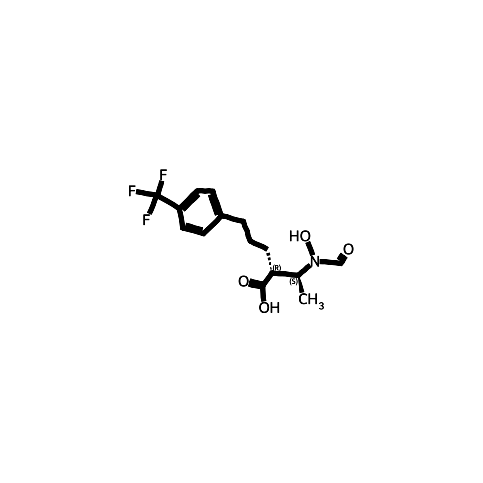 C[C@@H]([C@@H](CCCc1ccc(C(F)(F)F)cc1)C(=O)O)N(O)C=O